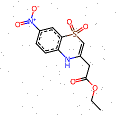 CCOC(=O)CC1=CS(=O)(=O)c2cc([N+](=O)[O-])ccc2N1